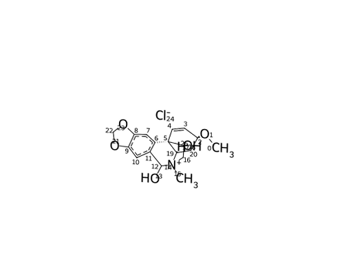 CO[C@@H]1C=C[C@@]23c4cc5c(cc4C(O)[N+](C)(C[C@@H]2O)[C@H]3C1)OCO5.[Cl-]